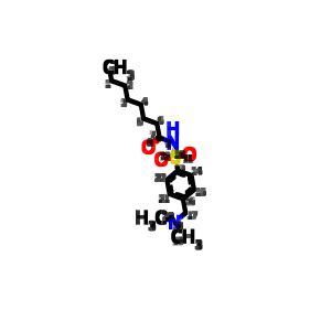 CCCCCCCC(=O)NS(=O)(=O)c1ccc(CN(C)C)cc1